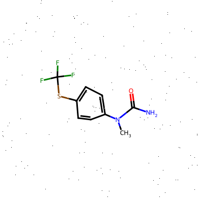 CN(C(N)=O)c1ccc(SC(F)(F)F)cc1